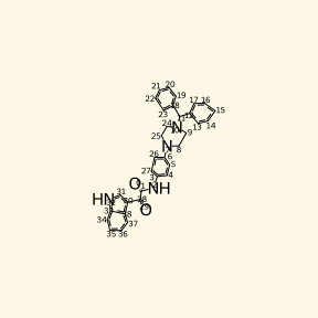 O=C(Nc1ccc(N2CCN(C(c3ccccc3)c3ccccc3)CC2)cc1)C(=O)c1c[nH]c2ccccc12